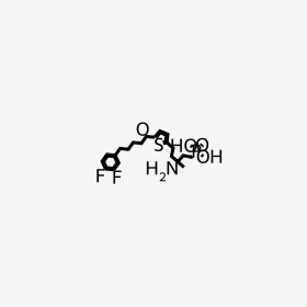 CC(N)(CCc1ccc(C(=O)CCCCc2ccc(F)c(F)c2)s1)CCP(=O)(O)O